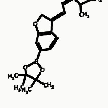 CC(C)/C=C\C=C1/COc2cc(B3OC(C)(C)C(C)(C)O3)ccc21